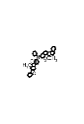 CC1(C)c2cc(N(c3ccccc3)c3ccc4c5c(ccc4c3)-c3c(ccc4ccccc34)C5(C)C)ccc2-c2cc3oc4ccccc4c3cc21